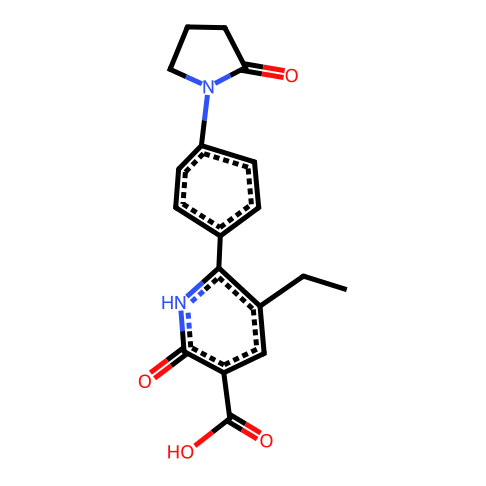 CCc1cc(C(=O)O)c(=O)[nH]c1-c1ccc(N2CCCC2=O)cc1